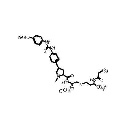 COc1ccc(NC(=O)Nc2ccc(C3CC(C(=O)NC(COCCC(NC(=O)CC(C)(C)C)C(=O)O)C(=O)O)N(C)C3)cc2)cc1